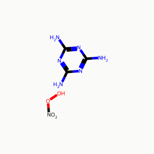 Nc1nc(N)nc(N)n1.O=[N+]([O-])OO